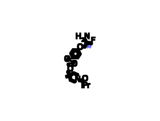 CC(C)C(=O)N1CCC(C)(COCS(=O)(=O)c2ccc(OC/C(=C/F)CN)cc2)CC1